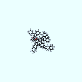 c1ccc(-n2c3ccccc3c3c(-c4nc(-c5cc6c(cc5-n5c7cc8ccccc8cc7c7c8ccccc8ccc75)oc5cc7ccccc7cc56)nc(-c5cccc6sc7ccccc7c56)n4)cccc32)cc1